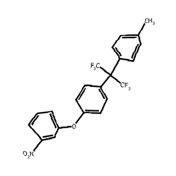 Cc1ccc(C(c2ccc(Oc3cccc([N+](=O)[O-])c3)cc2)(C(F)(F)F)C(F)(F)F)cc1